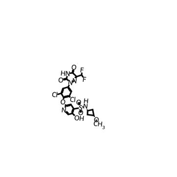 CO[C@H]1C[C@H](NS(=O)(=O)c2cc(Oc3c(Cl)cc(-n4nc(C(F)F)c(=O)[nH]c4=O)cc3Cl)ncc2O)C1